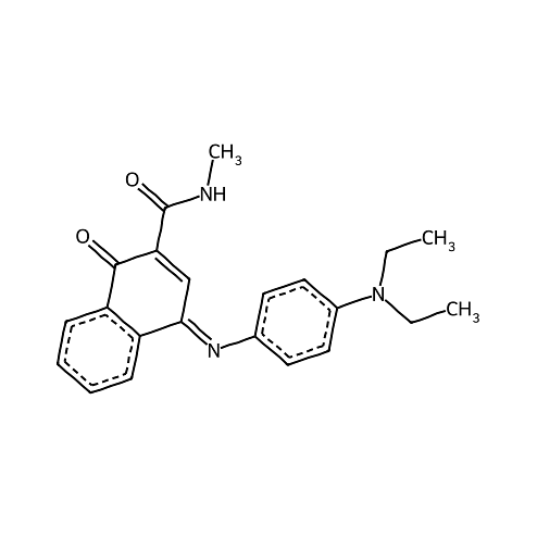 CCN(CC)c1ccc(N=C2C=C(C(=O)NC)C(=O)c3ccccc32)cc1